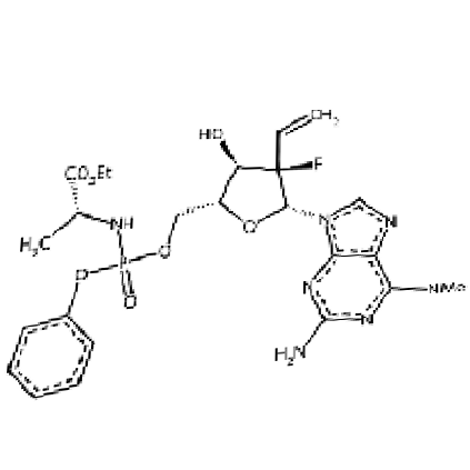 C=C[C@@]1(F)[C@H](O)[C@@H](COP(=O)(N[C@H](C)C(=O)OCC)Oc2ccccc2)O[C@H]1n1cnc2c(NC)nc(N)nc21